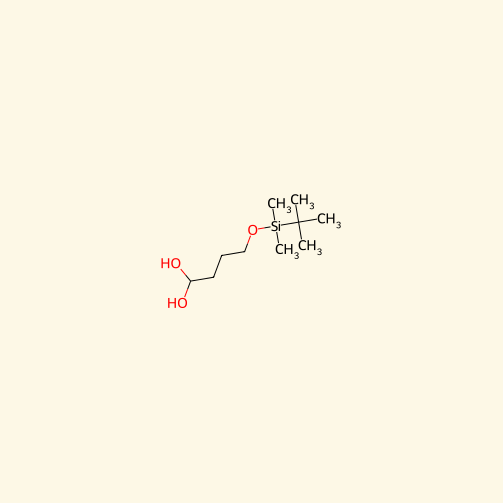 CC(C)(C)[Si](C)(C)OCCCC(O)O